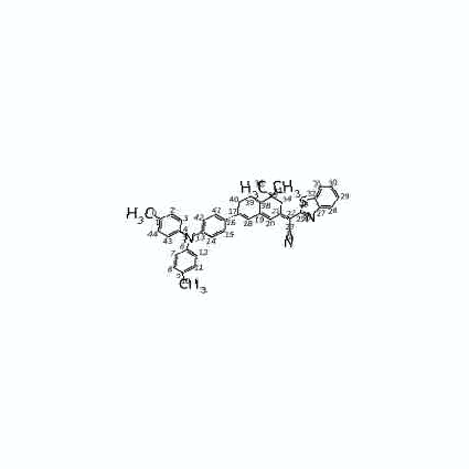 Cc1ccc(N(c2ccc(C)cc2)c2ccc(C3=CC4=C/C(=C(\C#N)c5nc6ccccc6s5)CC(C)(C)C4CC3)cc2)cc1